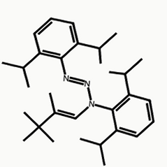 C/C(=C\N(/N=N/c1c(C(C)C)cccc1C(C)C)c1c(C(C)C)cccc1C(C)C)C(C)(C)C